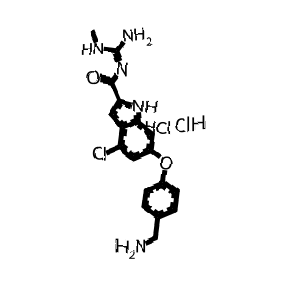 CNC(N)=NC(=O)c1cc2c(Cl)cc(Oc3ccc(CN)cc3)cc2[nH]1.Cl.Cl